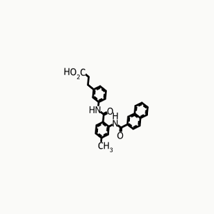 Cc1ccc(C(=O)Nc2cccc(CCC(=O)O)c2)c(NC(=O)c2ccc3ccccc3c2)c1